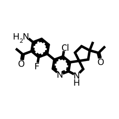 CC(=O)c1c(N)ccc(-c2cnc3c(c2Cl)C2(CCC(C)(C(C)=O)C2)CN3)c1F